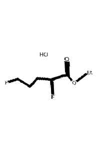 CCOC(=O)C(F)CCCF.Cl